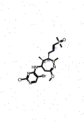 COC1=NN(C)[C@H](C/C=C/P(C)(C)=O)[C@H](C)C(Nc2nc(Cl)ncc2Br)C1